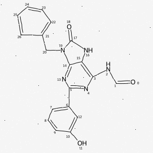 O=CNc1nc(-c2cccc(O)c2)nc2c1[nH]c(=O)n2Cc1ccccc1